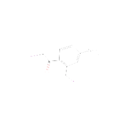 O=C(CI)c1ccc([N+](=O)[O-])cc1CI